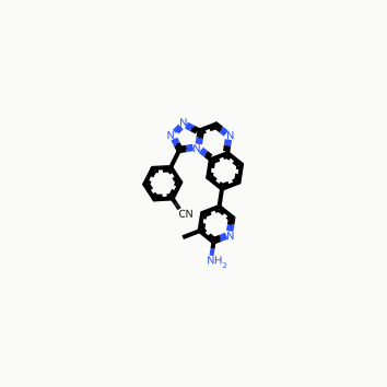 Cc1cc(-c2ccc3ncc4nnc(-c5cccc(C#N)c5)n4c3c2)cnc1N